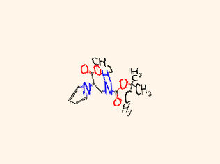 COC(=O)C(CNC(=O)OC(C)(C)C)n1cccc1